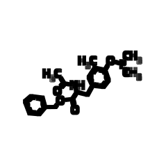 CC(=O)NC(Cc1ccc(OP(C)C)c(C)c1)C(=O)OCc1ccccc1